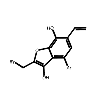 C=Cc1cc(C(C)=O)c2c(O)c(CC(C)C)oc2c1O